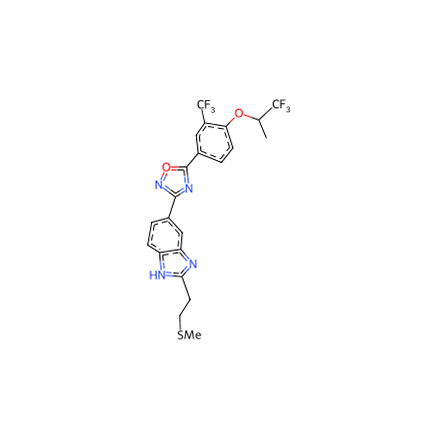 CSCCc1nc2cc(-c3noc(-c4ccc(OC(C)C(F)(F)F)c(C(F)(F)F)c4)n3)ccc2[nH]1